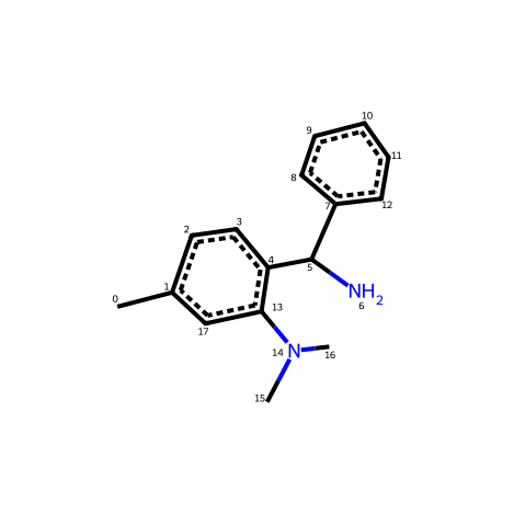 Cc1ccc(C(N)c2ccccc2)c(N(C)C)c1